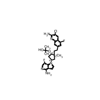 CC(C)(O)O[C@H]1C[C@H](n2ccc3c(N)ncc(F)c32)C[C@]1(C)CCc1cc(F)c2cc(Cl)c(N)nc2c1